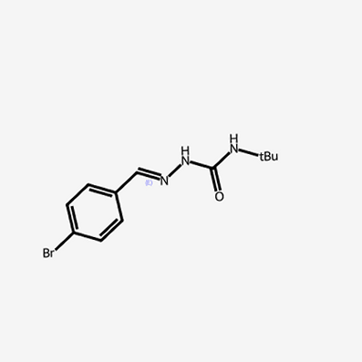 CC(C)(C)NC(=O)N/N=C/c1ccc(Br)cc1